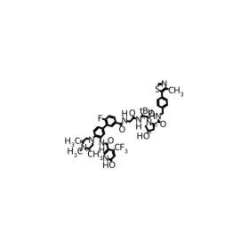 Cc1ncsc1-c1ccc(CNC(=O)[C@H]2C[C@H](O)CN2C(=O)[C@@H](NC(=O)CNC(=O)c2ccc(F)c(-c3ccc(N4C[C@@H](C)N(C)[C@@H](C)C4)c(NC(=O)c4c[nH]c(=O)cc4C(F)(F)F)c3)c2)C(C)(C)C)cc1